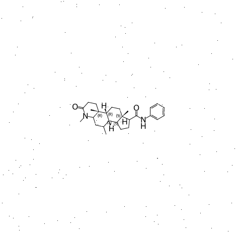 CC1CC2N(C)C(=O)CC[C@]2(C)[C@@H]2CC[C@]3(C)C(C(=O)Nc4ccccc4)CC[C@H]3[C@H]12